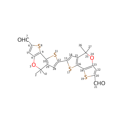 CC1(C)Oc2cc(C=O)sc2-c2sc(-c3cc4c(s3)-c3sc(C=O)cc3OC4(C)C)cc21